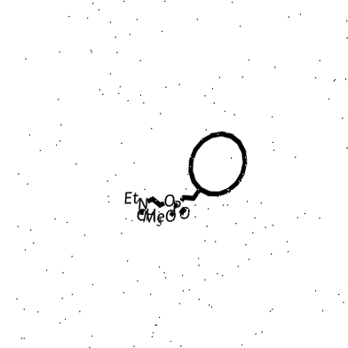 CCN(C)CCOP(=O)(CCC1CCCCCCCCCCCCCCCC1)OC